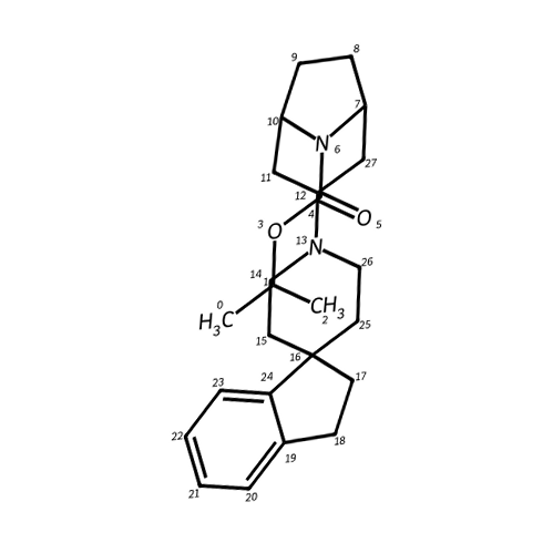 CC(C)OC(=O)N1C2CCC1CC(N1CCC3(CCc4ccccc43)CC1)C2